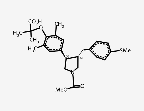 COC(=O)N1C[C@@H](Cc2ccc(SC)cc2)[C@H](c2cc(C)c(OC(C)(C)C(=O)O)c(C)c2)C1